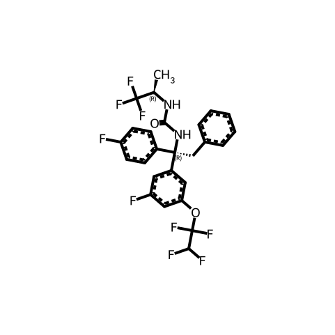 C[C@@H](NC(=O)N[C@](Cc1ccccc1)(c1ccc(F)cc1)c1cc(F)cc(OC(F)(F)C(F)F)c1)C(F)(F)F